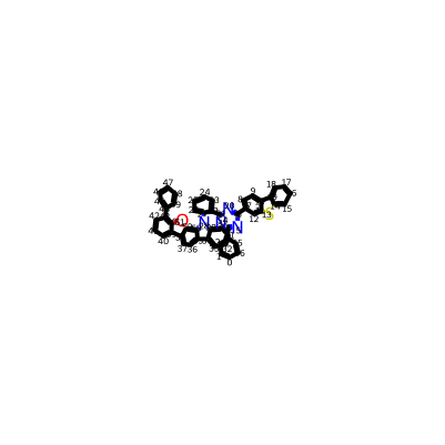 c1ccc(-c2nc(-c3ccc4c(c3)sc3ccccc34)nc(-c3ccccc3-n3c4ccccc4c4ccc5c6cccc(-c7ccccc7)c6oc5c43)n2)cc1